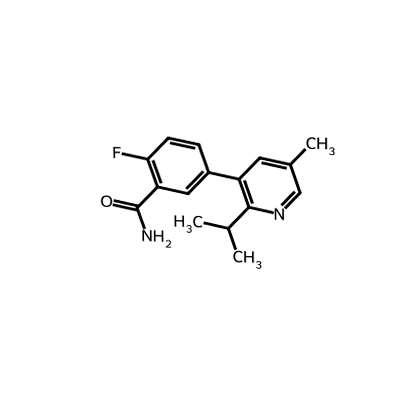 Cc1cnc(C(C)C)c(-c2ccc(F)c(C(N)=O)c2)c1